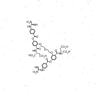 N=C(N)Nc1ccc(C(=O)Oc2ccc(C(=O)N[C@H](CC(=O)O)C(=O)O)c(OCCOCCOc3cc(OC(=O)c4ccc(NC(=N)N)cc4)ccc3C(=O)N[C@H](CC(=O)O)C(=O)O)c2)cc1